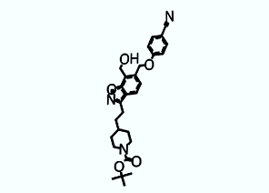 CC(C)(C)OC(=O)N1CCC(CCc2noc3c(CO)c(COc4ccc(C#N)cc4)ccc23)CC1